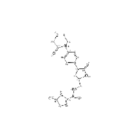 O=C(NCC1CN(c2ccc(N3CCOCC3=O)cc2)C(=O)O1)C1=CCC(Cl)S1